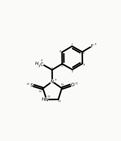 CC(c1ccc(F)cc1)N1C(=O)CNC1=S